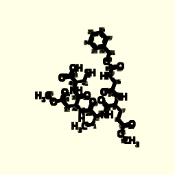 CC[C@H](NC(=O)[C@H](CCC(=O)OC)NC(=O)CNC(=O)OCc1ccccc1)C(=O)N[C@@H](CC(=O)OC)C(=O)N[C@H](CS)C(=O)O